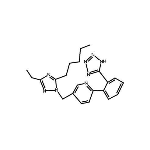 CCCCCc1nc(CC)nn1Cc1ccc(-c2ccccc2-c2nnn[nH]2)nc1